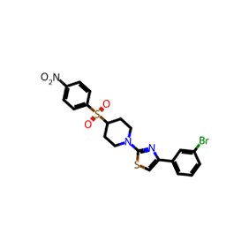 O=[N+]([O-])c1ccc(S(=O)(=O)C2CCN(c3nc(-c4cccc(Br)c4)cs3)CC2)cc1